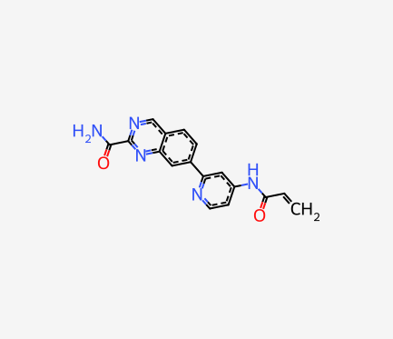 C=CC(=O)Nc1ccnc(-c2ccc3cnc(C(N)=O)nc3c2)c1